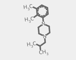 Cc1cccc(N2CCN(CC(C)C)CC2)c1C